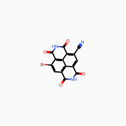 N#Cc1cc2c3c(cc(Br)c4c3c1C(=O)NC4=O)C(=O)NC2=O